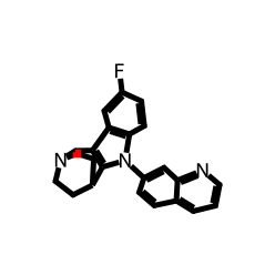 Fc1ccc2c(c1)c1c(n2-c2ccc3cccnc3c2)C2CCN(CC2)C1